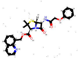 CC1(C)S[C@@H]2[C@H](NC(=O)COc3ccccc3)C(=O)N2[C@H]1C(=O)OCc1cccc2cccnc12